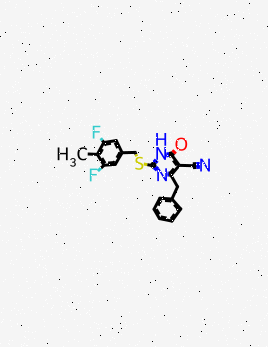 Cc1c(F)cc(CSc2nc(Cc3ccccc3)c(C#N)c(=O)[nH]2)cc1F